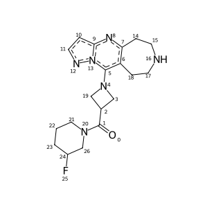 O=C(C1CN(c2c3c(nc4ccnn24)CCNCC3)C1)N1CCCC(F)C1